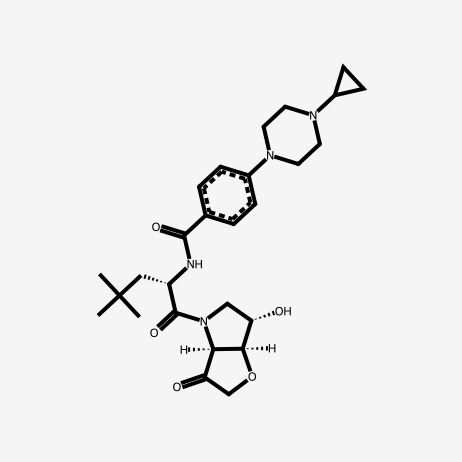 CC(C)(C)C[C@H](NC(=O)c1ccc(N2CCN(C3CC3)CC2)cc1)C(=O)N1C[C@H](O)[C@H]2OCC(=O)[C@H]21